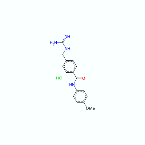 COc1ccc(NC(=O)c2ccc(CNC(=N)N)cc2)cc1.Cl